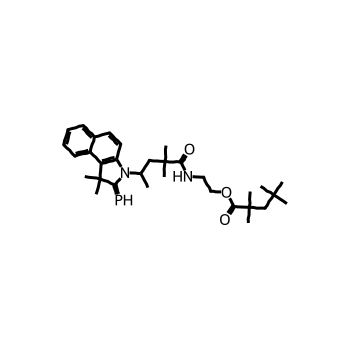 CC(CC(C)(C)C(=O)NCCOC(=O)C(C)(C)CC(C)(C)C)N1C(=P)C(C)(C)c2c1ccc1ccccc21